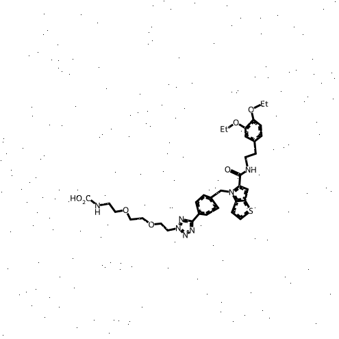 CCOc1ccc(CCNC(=O)c2cc3sccc3n2Cc2ccc(-c3nnn(CCOCCOCCNC(=O)O)n3)cc2)cc1OCC